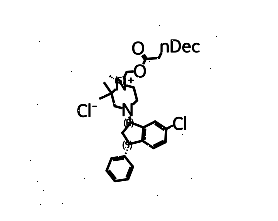 CCCCCCCCCCCC(=O)OC[N@@+]1(C)CCN([C@@H]2C[C@@H](c3ccccc3)c3ccc(Cl)cc32)CC1(C)C.[Cl-]